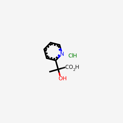 CC(O)(C(=O)O)c1ccccn1.Cl